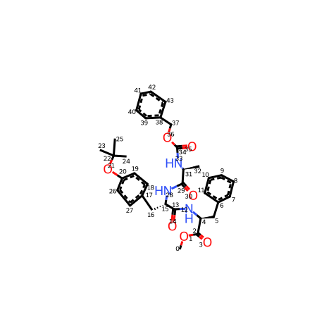 COC(=O)[C@H](Cc1ccccc1)NC(=O)[C@H](Cc1ccc(OC(C)(C)C)cc1)NC(=O)[C@H](C)NC(=O)OCc1ccccc1